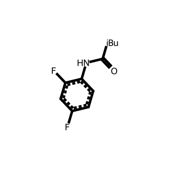 CCC(C)C(=O)Nc1ccc(F)cc1F